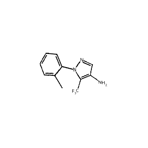 Cc1ccccc1-n1ncc(N)c1C(F)(F)F